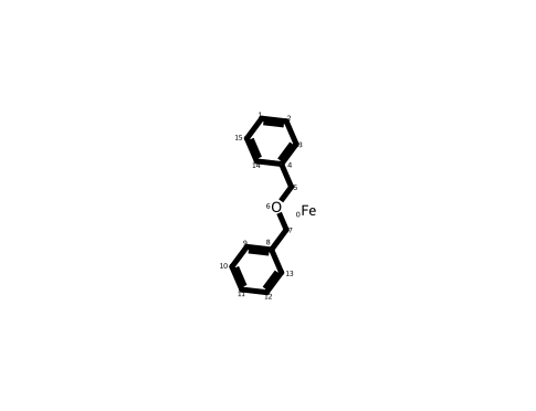 [Fe].c1ccc(COCc2ccccc2)cc1